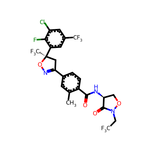 Cc1cc(C2=NO[C@](c3cc(C(F)(F)F)cc(Cl)c3F)(C(F)(F)F)C2)ccc1C(=O)N[C@H]1CON(CC(F)(F)F)C1=O